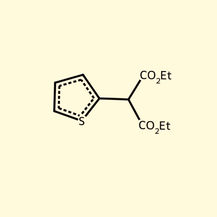 CCOC(=O)C(C(=O)OCC)c1cccs1